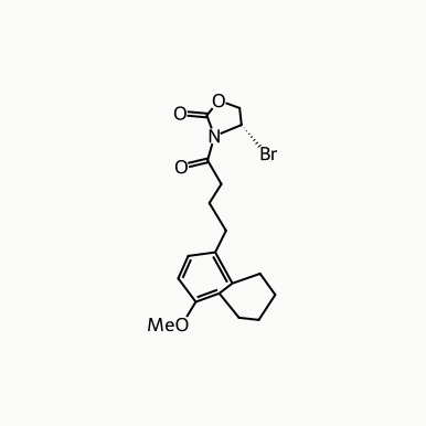 COc1ccc(CCCC(=O)N2C(=O)OC[C@@H]2Br)c2c1CCCC2